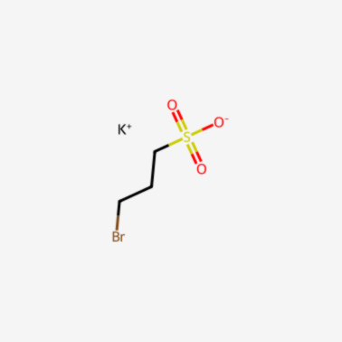 O=S(=O)([O-])CCCBr.[K+]